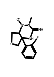 CN1C(=N)NC2(c3ccccc3F)COCC2[S+]1[O-]